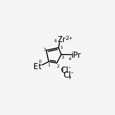 CCC1=CC(C(C)C)[C]([Zr+2])=C1.[Cl-].[Cl-]